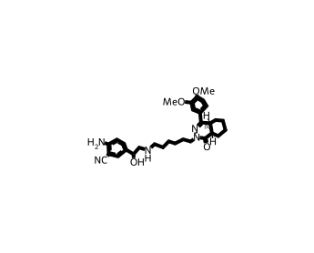 COc1ccc(C2=NN(CCCCCCNCC(O)c3ccc(N)c(C#N)c3)C(=O)[C@@H]3CCCC[C@H]23)cc1OC